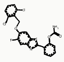 NC(=O)Oc1ccccc1-c1nc2cc(F)c(OCc3c(Cl)cccc3Cl)cc2s1